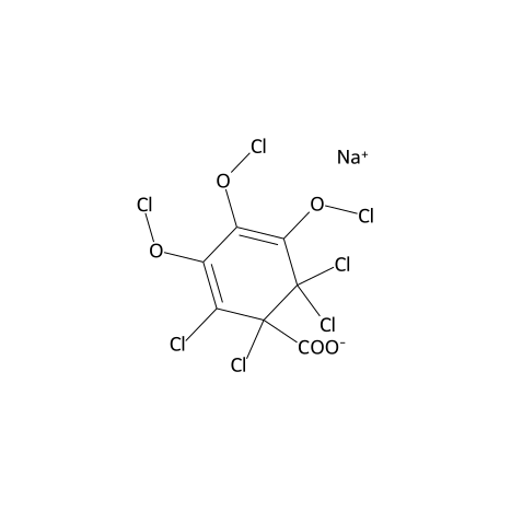 O=C([O-])C1(Cl)C(Cl)=C(OCl)C(OCl)=C(OCl)C1(Cl)Cl.[Na+]